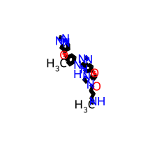 CNC/C=C/C(=O)N1CCN2CC1COc1cc3ncnc(Nc4ccc(Oc5ccn6ncnc6c5)c(C)c4)c3nc12